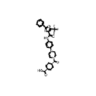 O=C(Nc1ccc(N2CCN(C(=O)[C@H]3CC[C@H](C(=O)O)CC3)CC2)cc1)c1nc(-c2ccccc2)oc1C(F)(F)F